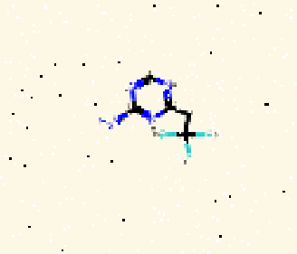 Nc1ncnc(CC(F)(F)F)n1